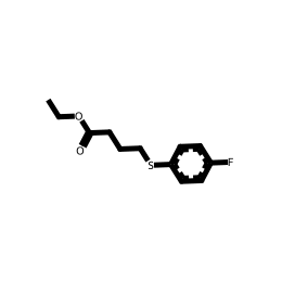 CCOC(=O)CCCSc1ccc(F)cc1